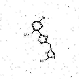 COc1ccc(Br)cc1-c1nc(Cn2cnc(C#N)n2)cs1